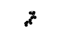 C1=Cc2c(c3cc(-c4ccc5c(c4)c4ccccc4n5-c4nc5c6c(cccc6n4)Sc4ccccc4-5)ccc3n2-c2ccc3ccc4ccccc4c3c2)CC1